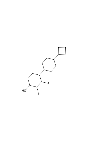 OC1CCC(C2CCC(C3CCC3)CC2)C(F)C1F